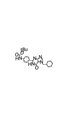 CC(C)(C)OC(=O)Nc1ccc(-c2nc3ncn(Cc4ccccc4)c3c(=O)[nH]2)cc1